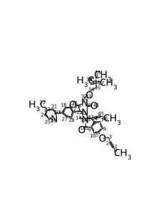 CC#CCOc1ccc2c(c1)C(=O)N(C[C@]1(c3ccc(-c4cc(C)ccn4)cc3)C(=O)N(COCC[Si](C)(C)C)C(=O)N1CC#CC)C2